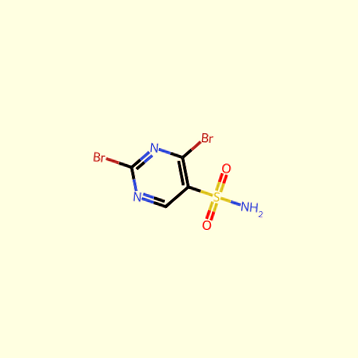 NS(=O)(=O)c1cnc(Br)nc1Br